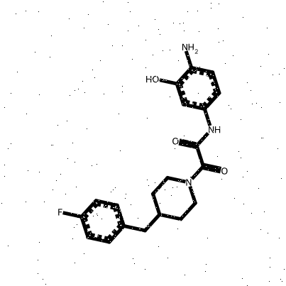 Nc1ccc(NC(=O)C(=O)N2CCC(Cc3ccc(F)cc3)CC2)cc1O